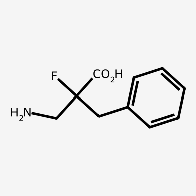 NCC(F)(Cc1ccccc1)C(=O)O